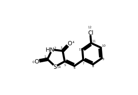 O=C1NC(=O)/C(=C\c2cccc(Cl)c2)S1